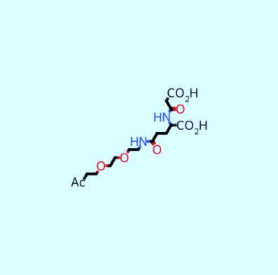 CC(=O)CCOCCOCCNC(=O)CCC(NC(=O)CC(=O)O)C(=O)O